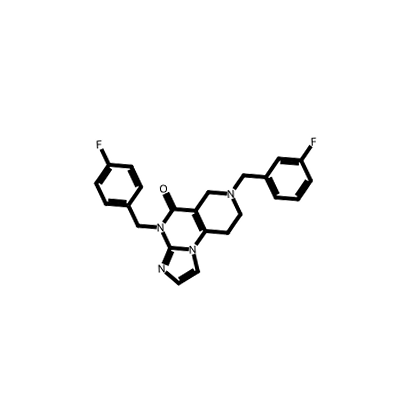 O=c1c2c(n3ccnc3n1Cc1ccc(F)cc1)CCN(Cc1cccc(F)c1)C2